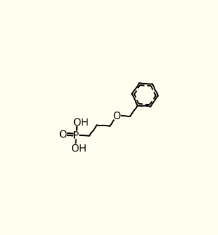 O=P(O)(O)CCCOCc1ccccc1